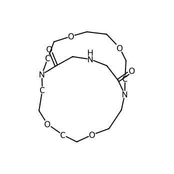 O=C1CNCC(=O)N2CCOCCOCCN1CCOCCOCC2